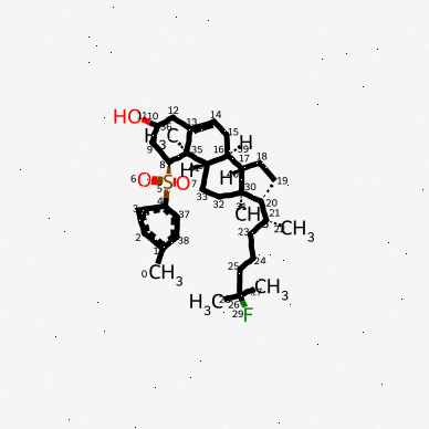 Cc1ccc(S(=O)(=O)[C@H]2CC(O)CC3=CC[C@H]4[C@@H]5CC[C@H]([C@H](C)CCCC(C)(C)F)[C@@]5(C)CC[C@@H]4[C@]32C)cc1